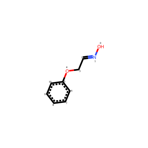 ON=CCOc1ccccc1